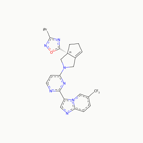 CC(C)c1noc([C@]23CCC=C2CN(c2ccnc(-c4cnc5ccc(C(F)(F)F)cn45)n2)C3)n1